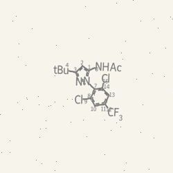 CC(=O)Nc1cc(C(C)(C)C)nn1-c1c(Cl)cc(C(F)(F)F)cc1Cl